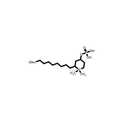 CCCCCCCCCCCCCCCCCCC1CC(OP(=O)(O)O)CC[N+]1(C)C